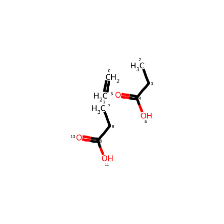 C=C.CCC(=O)O.CCC(=O)O